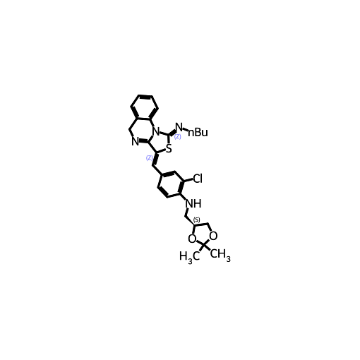 CCCC/N=c1\s/c(=C\c2ccc(NC[C@H]3COC(C)(C)O3)c(Cl)c2)c2n1-c1ccccc1CN=2